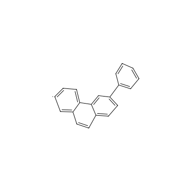 [c]1ccc2c(c1)ccc1ccc(-c3ccccc3)cc12